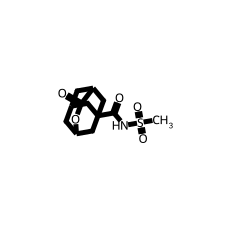 CS(=O)(=O)NC(=O)C12CC3CC(C1)OC(=O)C(C3)C2